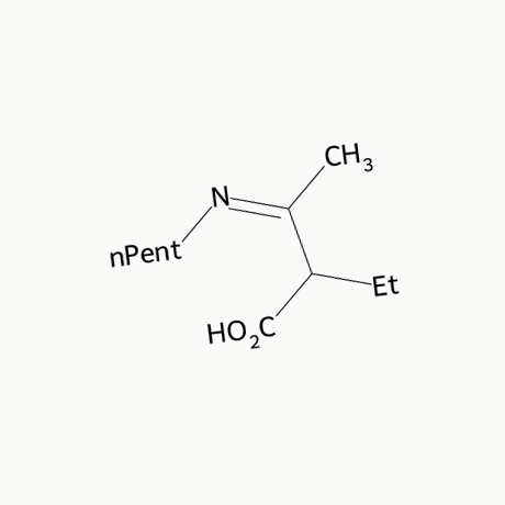 CCCCCN=C(C)C(CC)C(=O)O